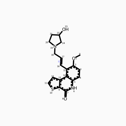 COc1ccc2[nH]c(=O)c3sccc3c2c1/C=C/CN1CCC(O)C1